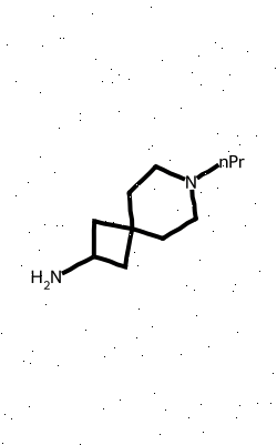 CCCN1CCC2(CC1)CC(N)C2